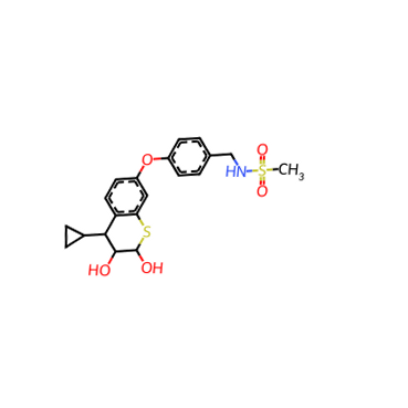 CS(=O)(=O)NCc1ccc(Oc2ccc3c(c2)SC(O)C(O)C3C2CC2)cc1